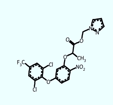 CC(Oc1cc(Oc2c(Cl)cc(C(F)(F)F)cc2Cl)ccc1[N+](=O)[O-])C(=O)OCn1cccn1